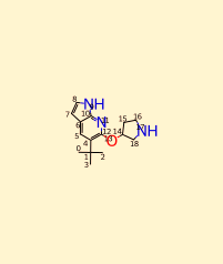 CC(C)(C)c1cc2cc[nH]c2nc1OC1CCNC1